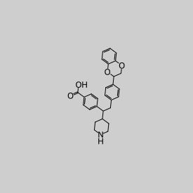 O=C(O)c1ccc(C(Cc2ccc(C3COc4ccccc4O3)cc2)C2CCNCC2)cc1